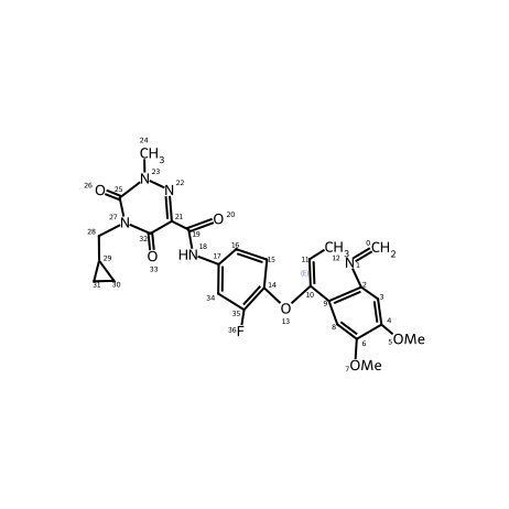 C=Nc1cc(OC)c(OC)cc1/C(=C\C)Oc1ccc(NC(=O)c2nn(C)c(=O)n(CC3CC3)c2=O)cc1F